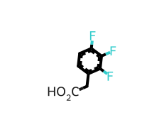 O=C(O)Cc1ccc(F)c(F)c1F